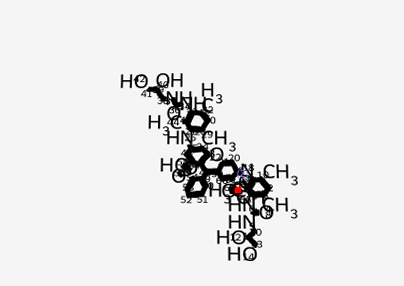 Cc1cc(C)c(NC(=O)NCC(O)CO)c(C)c1/N=c1/cc2oc3cc(Nc4c(C)cc(C)c(NC(=O)NCC(O)CO)c4C)ccc3c(-c3ccccc3S(=O)(=O)O)c-2cc1S(=O)(=O)O